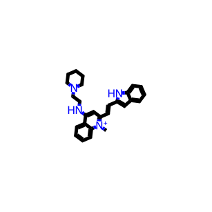 C[n+]1c(/C=C/c2cc3ccccc3[nH]2)cc(NCCN2CCCCC2)c2ccccc21